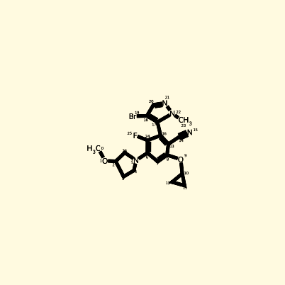 COC1CCN(c2cc(OC3CC3)c(C#N)c(-c3c(Br)cnn3C)c2F)C1